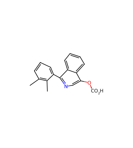 Cc1cccc(-c2ncc(OC(=O)O)c3ccccc23)c1C